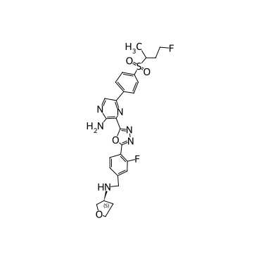 CC(CCF)S(=O)(=O)c1ccc(-c2cnc(N)c(-c3nnc(-c4ccc(CN[C@H]5CCOC5)cc4F)o3)n2)cc1